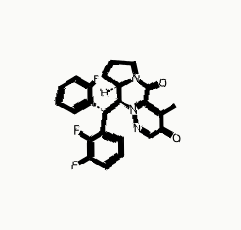 Cc1c2n(ncc1=O)[C@@H]([C@@H](c1ccccc1F)c1cccc(F)c1F)[C@H]1CCCN1C2=O